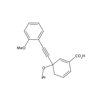 COc1ccccc1C#CC1(OC(C)C)C=C(C(=O)O)C=CC1